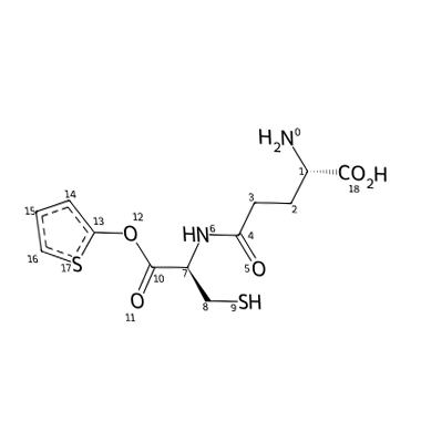 N[C@@H](CCC(=O)N[C@@H](CS)C(=O)Oc1cccs1)C(=O)O